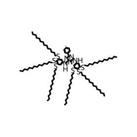 CCCCCCCCCCCCCCSc1cc(Nc2nc(Nc3cc(SCCCCCCCCCCCCCC)c(SCCCCCCCCCCCCCC)c(SCCCCCCCCCCCCCC)c3)nc(-c3cc[c]cc3)n2)cc(SCCCCCCCCCCCCCC)c1SCCCCCCCCCCCCCC